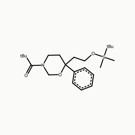 CC(C)(C)C(=O)N1CCC(CCO[Si](C)(C)C(C)(C)C)(c2ccccc2)OC1